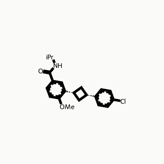 COc1ccc(C(=O)NC(C)C)cc1[C@H]1C[C@@H](c2ccc(Cl)cc2)C1